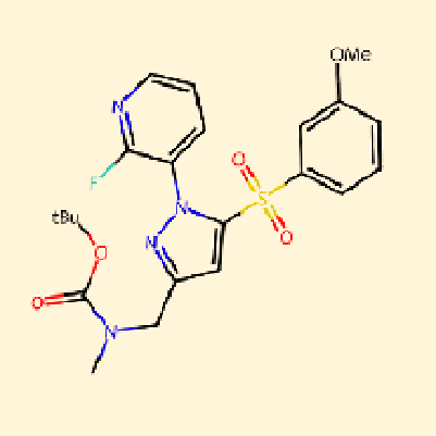 COc1cccc(S(=O)(=O)c2cc(CN(C)C(=O)OC(C)(C)C)nn2-c2cccnc2F)c1